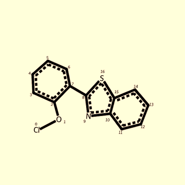 ClOc1ccccc1-c1nc2ccccc2s1